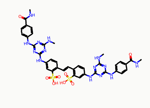 CNC(=O)c1ccc(Nc2nc(NC)nc(Nc3ccc(/C=C/c4ccc(Nc5nc(NC)nc(Nc6ccc(C(=O)NC)cc6)n5)cc4S(=O)(=O)O)c(S(=O)(=O)O)c3)n2)cc1